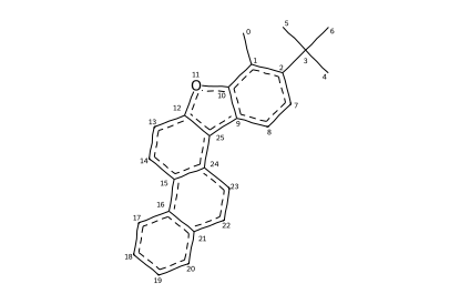 Cc1c(C(C)(C)C)ccc2c1oc1ccc3c4ccccc4ccc3c12